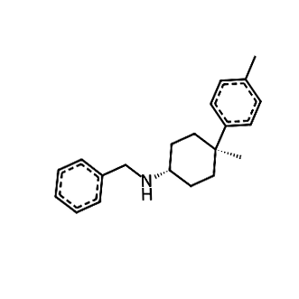 Cc1ccc([C@]2(C)CC[C@@H](NCc3ccccc3)CC2)cc1